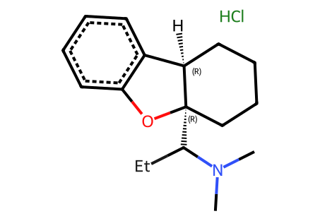 CCC(N(C)C)[C@@]12CCCC[C@@H]1c1ccccc1O2.Cl